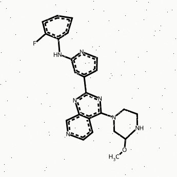 COC1CN(c2nc(-c3ccnc(Nc4ccccc4F)c3)nc3cnccc23)CCN1